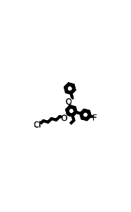 CCc1c(OCCCCCCl)cc(OCc2ccccc2)cc1-c1ccc(F)cc1